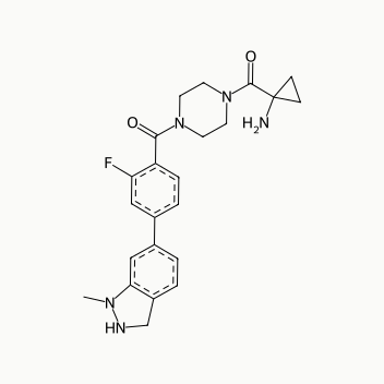 CN1NCc2ccc(-c3ccc(C(=O)N4CCN(C(=O)C5(N)CC5)CC4)c(F)c3)cc21